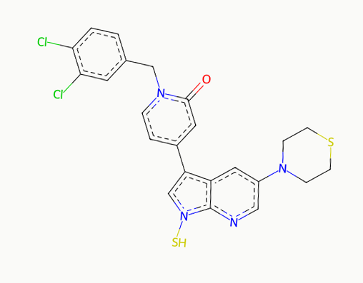 O=c1cc(-c2cn(S)c3ncc(N4CCSCC4)cc23)ccn1Cc1ccc(Cl)c(Cl)c1